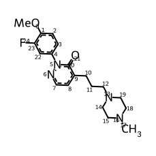 COc1ccc(-n2nccc(CCCN3CCN(C)CC3)c2=O)cc1F